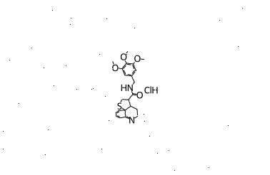 COc1cc(CNC(=O)C2CSC34C=CC=CC3=NCCC24)cc(OC)c1OC.Cl